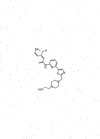 C=C(/C=C(\C=C/N)CF)Nc1cccc(-c2cnc(CN3CCN(CCO)CC3)s2)n1